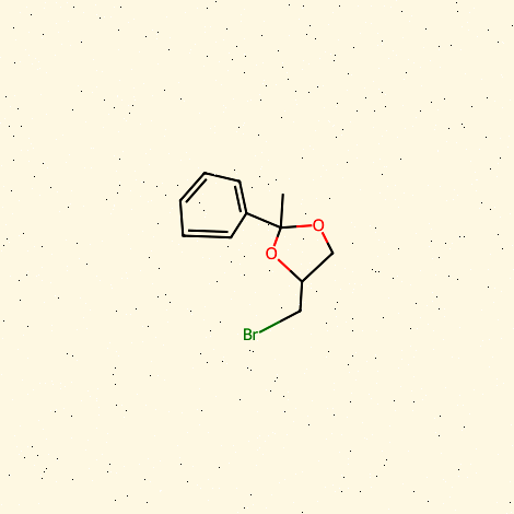 CC1(c2ccccc2)OCC(CBr)O1